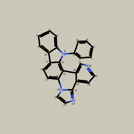 c1ccc(-n2c3ccccc3c3ccc4c(c5cnccc5c5nccn45)c32)cc1